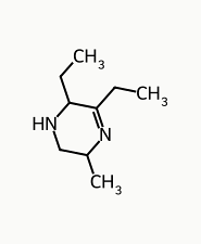 CCC1=NC(C)CNC1CC